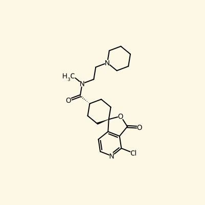 CN(CCN1CCCCC1)C(=O)[C@H]1CC[C@@]2(CC1)OC(=O)c1c(Cl)nccc12